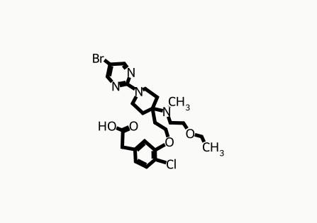 CCOCCN(C)C1(CCOc2cc(CC(=O)O)ccc2Cl)CCN(c2ncc(Br)cn2)CC1